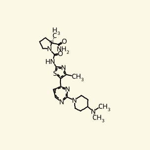 Cc1nc(NC(=O)N2CCC[C@@]2(C)C(N)=O)sc1-c1ccnc(N2CCC(N(C)C)CC2)n1